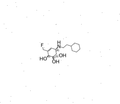 O[C@@H]1[C@@H](O)[C@@H](O)C(CF)=C[C@H]1NCCC1CCCCC1